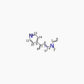 C=CN(C)/C(C)=C/C(=C)c1ccncc1